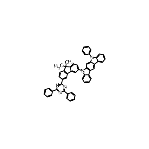 CC1(C)c2ccc(-c3nc(-c4ccccc4)nc(-c4ccccc4)n3)cc2-c2cc(-n3c4ccccc4c4cc5c6ccccc6n(-c6ccccc6)c5cc43)ccc21